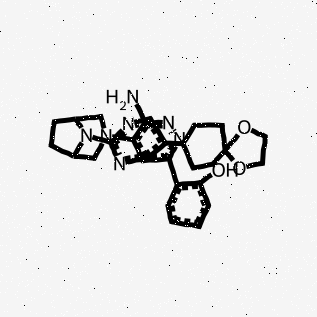 Nc1nnc(-c2ccccc2O)cc1N1CC2CCC(C1)N2c1ncc(C2CCC3(CC2)OCCO3)cn1